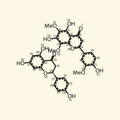 COc1cc(-c2cc(=O)c3c(O)c(OC)c(O)c(OC)c3o2)ccc1O.O=C1C[C@@H](c2ccc(O)cc2)Oc2cc(O)cc(O)c21